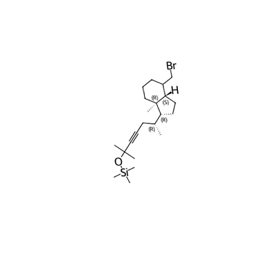 C[C@H](CC#CC(C)(C)O[Si](C)(C)C)[C@H]1CC[C@H]2C(CBr)CCC[C@]12C